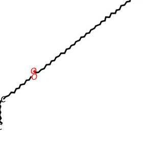 CCCCCCCC/C=C\CCCCCCCCCCCCOC(=O)CCCCCCCCCCCCCCCCCCCCCCCCCCCCCCCCCCCCCCC